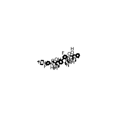 CC(C)CN1c2ccccc2C(O)=C(C(=O)Nc2cc(F)cc(-c3ccc4c(c3)c(O)c(C(=O)Nc3ccc(N5CCN(C)CC5)c(F)c3)c(=O)n4CC(C)C)c2N2CCN(C)CC2)C1O